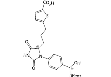 CCCCC[C@@H](O)c1ccc(N2C(=O)NC(=O)[C@@H]2CCCc2ccc(C(=O)O)s2)cc1